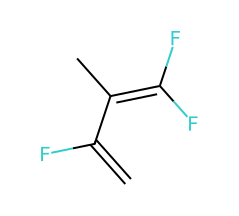 C=C(F)C(C)=C(F)F